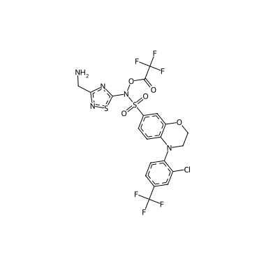 NCc1nsc(N(OC(=O)C(F)(F)F)S(=O)(=O)c2ccc3c(c2)OCCN3c2ccc(C(F)(F)F)cc2Cl)n1